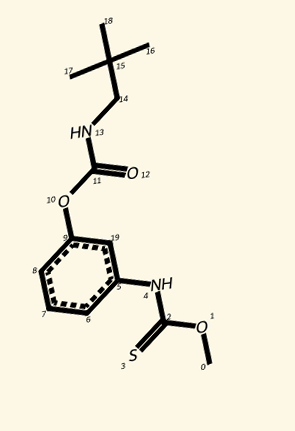 COC(=S)Nc1cccc(OC(=O)NCC(C)(C)C)c1